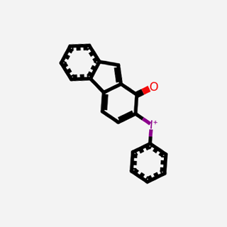 O=C1C([I+]c2ccccc2)=CC=C2C1=Cc1ccccc12